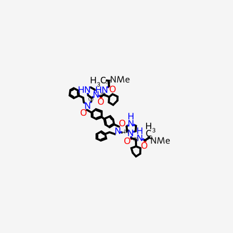 CN[C@@H](C)C(=O)N[C@H](C(=O)N1CCNC[C@H]1CN(CCc1ccccc1)C(=O)c1ccc(-c2ccc(C(=O)N(CCc3ccccc3)C[C@@H]3CNCCN3C(=O)[C@@H](NC(=O)[C@H](C)NC)C3CCCCC3)cc2)cc1)C1CCCCC1